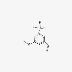 C=Cc1cc(SC)cc(C(F)(F)F)c1